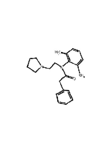 Cc1cccc(C)c1N(CCN1CCCC1)C(=O)Cc1ccccc1